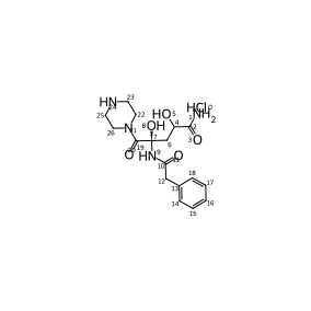 Cl.NC(=O)C(O)C[C@](O)(NC(=O)Cc1ccccc1)C(=O)N1CCNCC1